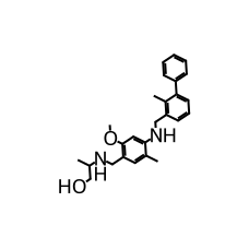 COc1cc(NCc2cccc(-c3ccccc3)c2C)c(C)cc1CNC(C)CO